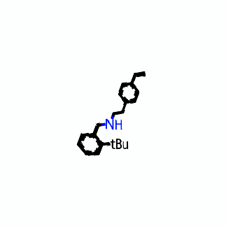 C=Cc1ccc(CCNCc2ccccc2C(C)(C)C)cc1